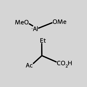 CCC(C(C)=O)C(=O)O.C[O][Al][O]C